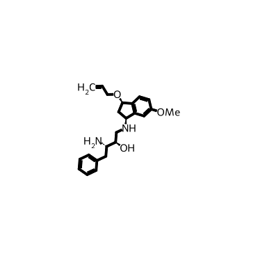 C=CCO[C@@H]1C[C@H](NC[C@@H](O)[C@@H](N)Cc2ccccc2)c2cc(OC)ccc21